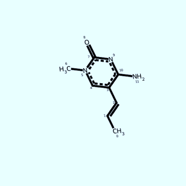 C/C=C/c1cn(C)c(=O)nc1N